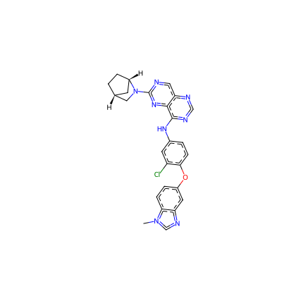 Cn1cnc2cc(Oc3ccc(Nc4ncnc5cnc(N6C[C@@H]7CC[C@H]6C7)nc45)cc3Cl)ccc21